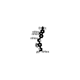 CCCCCCc1cc(-c2ccc(-c3cc(CCCCCC)c(C(C)C)s3)c3nsnc23)sc1-c1ccc2c(c1)C(CCCCCC)(CCCCCC)c1cc(C(C)(CC)CC)ccc1-2